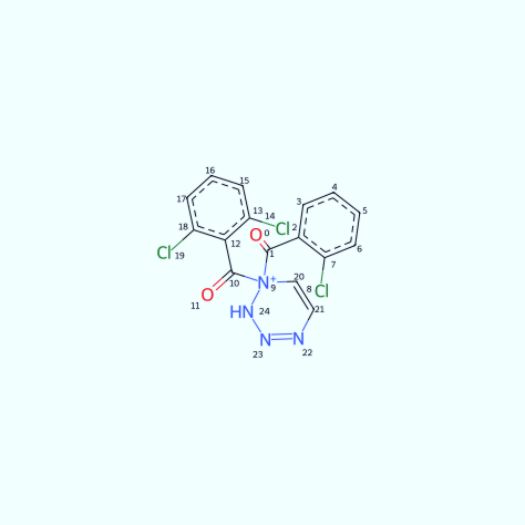 O=C(c1ccccc1Cl)[N+]1(C(=O)c2c(Cl)cccc2Cl)C=CN=NN1